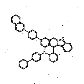 c1ccc(-c2ccc(N(c3cccc(-c4ccc(-c5ccc6ccccc6c5)cc4)c3)c3ccccc3-c3cccc4sc5ccccc5c34)cc2)cc1